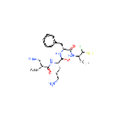 CC(=O)N[C@@H](CN)C(=O)N[C@@H](CCCN)C(=O)N[C@@H](Cc1ccccc1)C(=O)N[C@H](C(=O)O)C(S)Cl